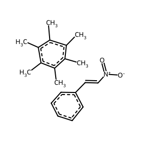 Cc1c(C)c(C)c(C)c(C)c1C.O=[N+]([O-])C=Cc1ccccc1